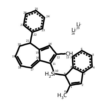 CC1=Cc2ccccc2C1[SiH2]C1=C(C)C=C2C1=CC=CCC2c1ccccc1.[Li].[Li]